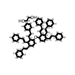 C(=C\c1ccc(Oc2ccc(/C=C/c3ccccc3)c(/C=C/c3ccccc3)c2/C=C/c2ccccc2)c(/C=C/c2ccccc2)c1/C=C/c1ccccc1)/c1ccccc1.OCCO